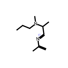 C=C(C)/N=C/C(C)N(C)CCC